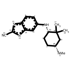 CN[C@@H]1CC[C@H](Nc2ccc3sc(C#N)nc3c2)C(C)(C)C1